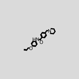 C=CCOc1ccc(NC(=O)c2ccc(CN3CCCCC3)cc2)cc1